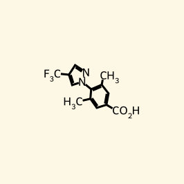 Cc1cc(C(=O)O)cc(C)c1-n1cc(C(F)(F)F)cn1